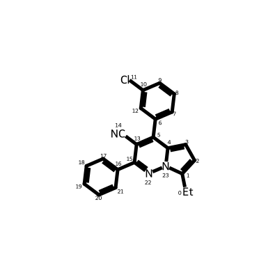 CCc1ccc2c(-c3cccc(Cl)c3)c(C#N)c(-c3ccccc3)nn12